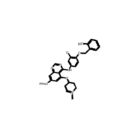 COc1cc(OC2CCN(C)CC2)c2c(Nc3ccc(OCc4ccccc4C#N)c(Cl)c3)ncnc2c1